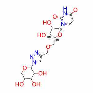 O=c1ccn([C@@H]2O[C@H](COCc3cn(C4OCC(O)C(O)C4O)nn3)[C@H](O)C2O)c(=O)[nH]1